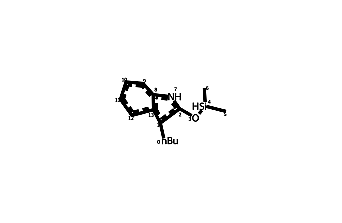 CCCCc1c(O[SiH](C)C)[nH]c2ccccc12